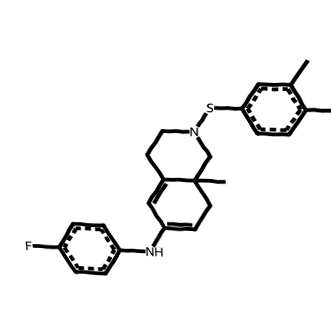 Cc1ccc(SN2CCC3=CC(Nc4ccc(F)cc4)=CCC3(C)C2)cc1C